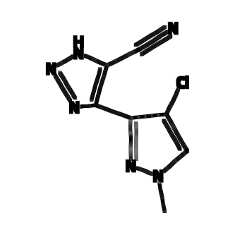 Cn1cc(Cl)c(-c2nn[nH]c2C#N)n1